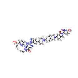 C[C@@]1(O)CC/C=C\Cn2c(=O)c3cnc(Nc4ccc(C5CCN(C6CCC7(CC6)CCN(c6ccc8c(c6)C(=O)N(C6CCC(=O)NC6=O)C8)CC7)CC5)cc4)nc3n2-c2cccc1n2